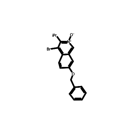 CC(C)c1c(Br)c2ccc(OCc3ccccc3)cc2c[n+]1[O-]